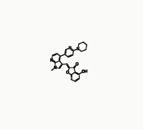 Cn1cc(C=C2Oc3cccc(O)c3C2=O)c2c(-c3ccc(N4CCCCC4)nc3)ccnc21